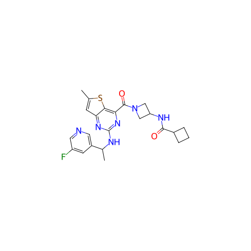 Cc1cc2nc(NC(C)c3cncc(F)c3)nc(C(=O)N3CC(NC(=O)C4CCC4)C3)c2s1